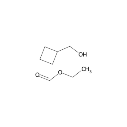 CCOC=O.OCC1CCC1